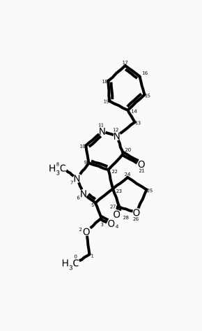 CCOC(=O)C1=NN(C)c2cnn(Cc3ccccc3)c(=O)c2C12CCOC2=O